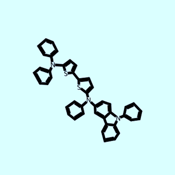 c1ccc(N(c2ccccc2)c2ccc(-c3ccc(N(c4ccccc4)c4ccc5c(c4)c4ccccc4n5-c4ccccc4)s3)s2)cc1